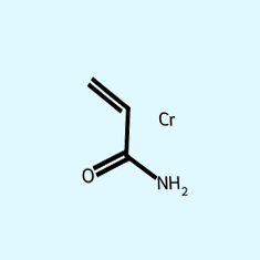 C=CC(N)=O.[Cr]